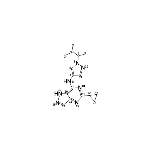 CC(C)C(C)n1cc(Nc2nc(C3CC3)nc3cn[nH]c23)cn1